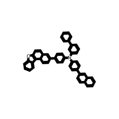 C1=CC2C=CC(c3ccc(N(c4ccc(C5=CC6C=Cc7oc8ccccc8c7C6C=C5)cc4)c4cccc(-c5ccccc5)c4)cc3)=CC2C=C1